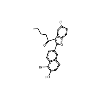 CCCCC(=O)c1c(-c2ccc3c(Br)c(O)ccc3c2)oc2ccc(Cl)cc12